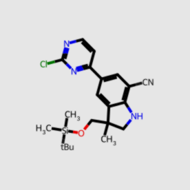 CC1(CO[Si](C)(C)C(C)(C)C)CNc2c(C#N)cc(-c3ccnc(Cl)n3)cc21